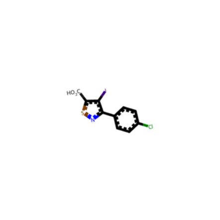 O=C(O)c1snc(-c2ccc(Cl)cc2)c1I